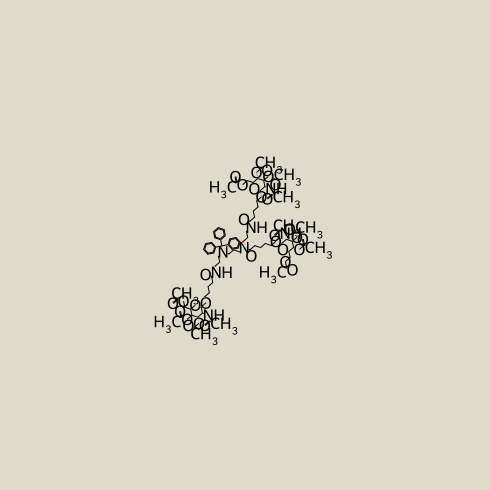 CC(=O)NC1C(OC(C)=O)[C@@H](OC(C)=O)C(COC(C)=O)O[C@H]1OCCCCC(=O)NCCCN(CCCN(CCCNC(=O)CCCCO[C@@H]1OC(COC(C)=O)[C@H](OC(C)=O)C(OC(C)=O)[C@@H]1NC(C)=O)C(=O)CCCCO[C@@H]1OC(COC(C)=O)[C@H](OC(C)=O)C(OC(C)=O)C1NC(C)=O)C(c1ccccc1)(c1ccccc1)c1ccccc1